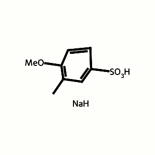 COc1ccc(S(=O)(=O)O)cc1C.[NaH]